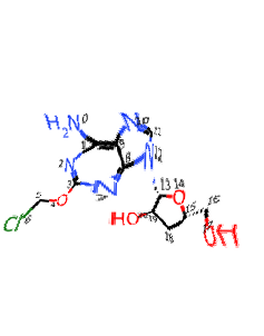 Nc1nc(OCCl)nc2c1ncn2[C@@H]1O[C@H](CO)C[C@H]1O